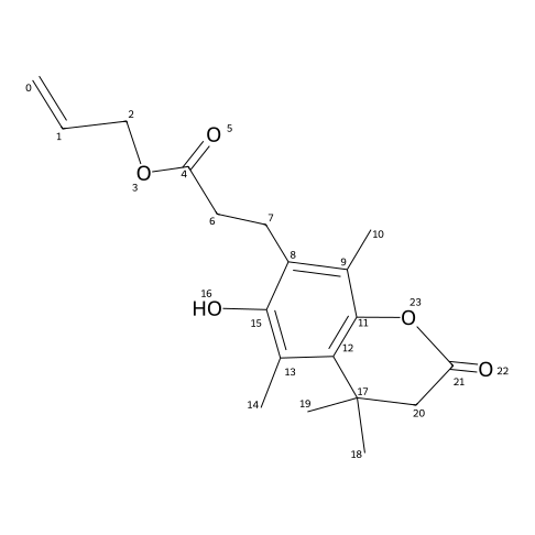 C=CCOC(=O)CCc1c(C)c2c(c(C)c1O)C(C)(C)CC(=O)O2